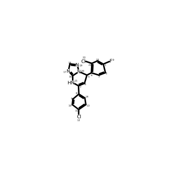 Fc1ccc(C2C=C(c3ccc(Cl)cc3)Nc3ncnn32)c(Cl)c1